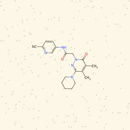 Cc1c(N2CCCCC2)nn(CC(=O)Nc2ccc(C#N)nc2)c(=O)c1C